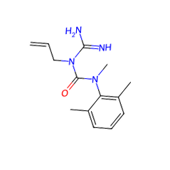 C=CCN(C(=N)N)C(=O)N(C)c1c(C)cccc1C